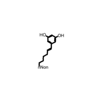 CCCCCCCCCCCCCC=Cc1cc(O)cc(O)c1